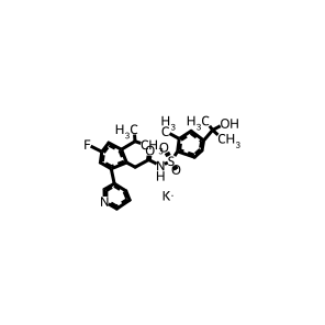 Cc1cc(C(C)(C)O)ccc1S(=O)(=O)NC(=O)Cc1c(-c2cccnc2)cc(F)cc1C(C)C.[K]